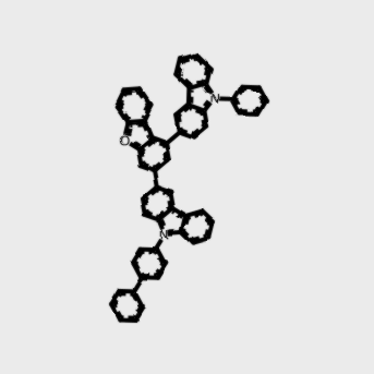 c1ccc(-c2ccc(-n3c4ccccc4c4cc(-c5cc(-c6ccc7c(c6)c6ccccc6n7-c6ccccc6)c6c(c5)oc5ccccc56)ccc43)cc2)cc1